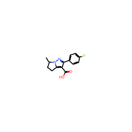 CC1CCc2c(C(=O)O)c(-c3ccc(F)cc3)nn21